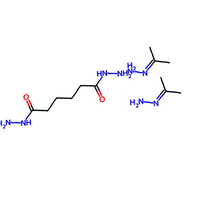 CC(C)=NN.CC(C)=NN.NNC(=O)CCCCC(=O)NN